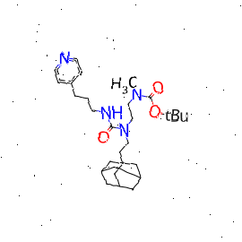 CN(CCN(CCC12CC3CC(CC(C3)C1)C2)C(=O)NCCCc1ccncc1)C(=O)OC(C)(C)C